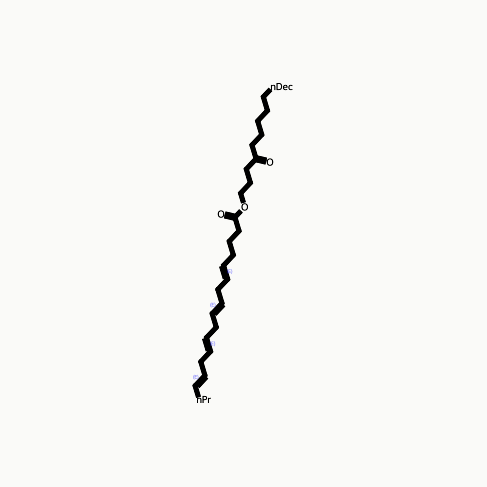 CCC/C=C/C/C=C/C/C=C/C/C=C/CCCC(=O)OCCCC(=O)CCCCCCCCCCCCCCC